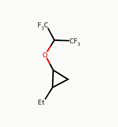 CCC1CC1OC(C(F)(F)F)C(F)(F)F